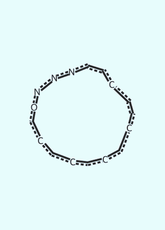 c1ccccccnnnocccccc1